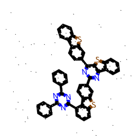 c1ccc(-c2nc(-c3ccccc3)nc(-c3cccc4sc5cc(-c6nc(-c7ccc8c(c7)sc7ccccc78)c7sc8ccccc8c7n6)ccc5c34)n2)cc1